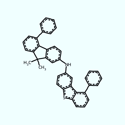 CC1(C)c2cc(Nc3ccc4sc5cccc(-c6ccccc6)c5c4c3)ccc2-c2c(-c3ccccc3)cccc21